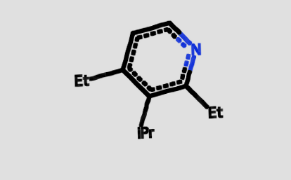 CCc1ccnc(CC)c1C(C)C